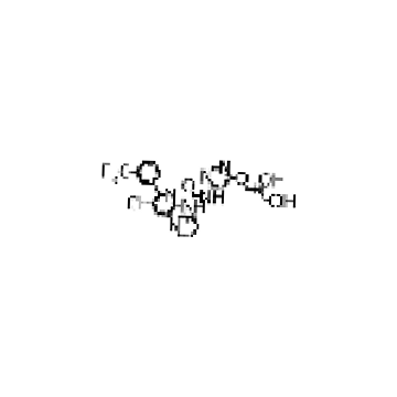 O=C(Nc1cc(OC[C@H](O)CO)ncn1)N1c2nc(-c3cccc(C(F)(F)F)c3)c(Cl)cc2N2CCC[C@H]1C2